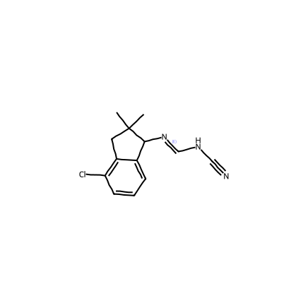 CC1(C)Cc2c(Cl)cccc2C1/N=C/NC#N